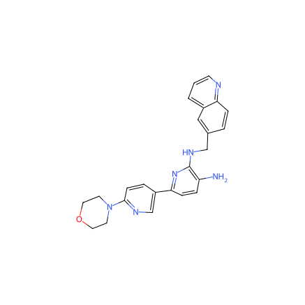 Nc1ccc(-c2ccc(N3CCOCC3)nc2)nc1NCc1ccc2ncccc2c1